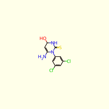 NC1=CC(O)NC(=S)N1c1cc(Cl)cc(Cl)c1